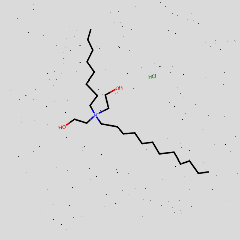 CCCCCCCCCCCC[N+](CCO)(CCO)CCCCCCCC.Cl